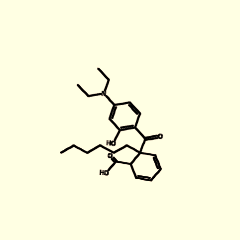 CCCCCCC1(C(=O)c2ccc(N(CC)CC)cc2O)C=CC=CC1C(=O)O